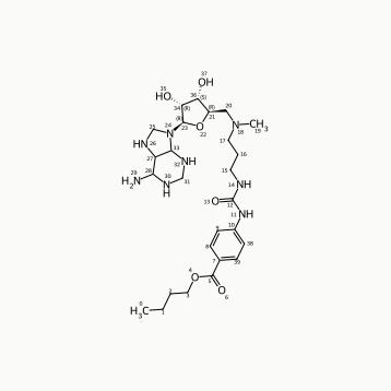 CCCCOC(=O)c1ccc(NC(=O)NCCCN(C)C[C@H]2O[C@@H](N3CNC4C(N)NCNC43)[C@H](O)[C@@H]2O)cc1